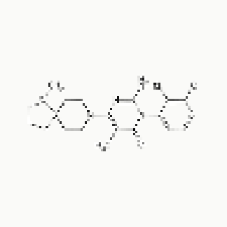 Cc1c(N2CCC3(CCC[C@@H]3C)CC2)nc(N)n(-c2cccc(Cl)c2Cl)c1=O